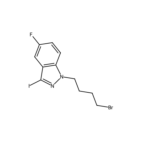 Fc1ccc2c(c1)c(I)nn2CCCCBr